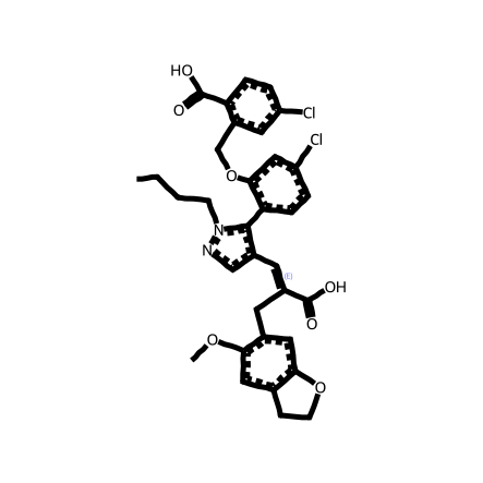 CCCCn1ncc(/C=C(\Cc2cc3c(cc2OC)CCO3)C(=O)O)c1-c1ccc(Cl)cc1OCc1cc(Cl)ccc1C(=O)O